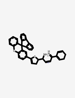 N=C(/C=C\C(N)C1CC=C(c2ccc3c(c2)C2(c4ccccc4O3)c3ccccc3-c3ccccc32)S1)C1=CCCC=C1